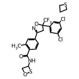 C1CSC1.Cc1cc(C2=NOC(c3cc(Cl)cc(Cl)c3)(C(F)(F)F)C2)ccc1C(=O)NC1COS1